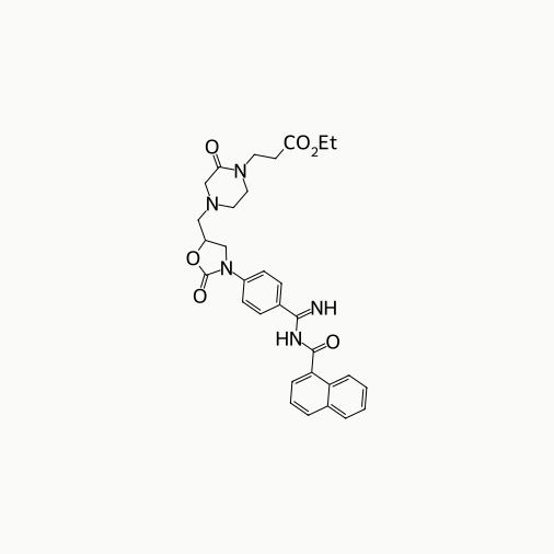 CCOC(=O)CCN1CCN(CC2CN(c3ccc(C(=N)NC(=O)c4cccc5ccccc45)cc3)C(=O)O2)CC1=O